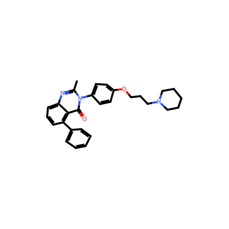 Cc1nc2cccc(-c3ccccc3)c2c(=O)n1-c1ccc(OCCCN2CCCCC2)cc1